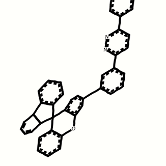 C1=CC2c3ccccc3C3(c4ccccc4Oc4cc(-c5cccc(-c6ccc(-c7ccccc7)nn6)c5)ccc43)C2C=C1